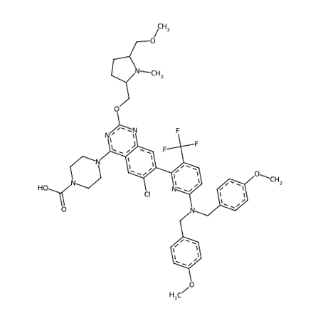 COCC1CCC(COc2nc(N3CCN(C(=O)O)CC3)c3cc(Cl)c(-c4nc(N(Cc5ccc(OC)cc5)Cc5ccc(OC)cc5)ccc4C(F)(F)F)cc3n2)N1C